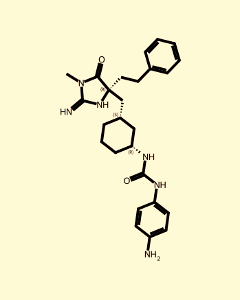 CN1C(=N)N[C@](CCc2ccccc2)(C[C@H]2CCC[C@@H](NC(=O)Nc3ccc(N)cc3)C2)C1=O